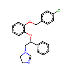 Clc1ccc(COc2ccccc2OC(CN2C=NCC2)c2ccccc2)cc1